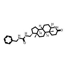 C[C@]12CCC(=O)N[C@@H]1CC[C@@H]1[C@@H]2CC[C@]2(C)[C@@H](CNC(=O)NCc3ccccc3)CC[C@@H]12